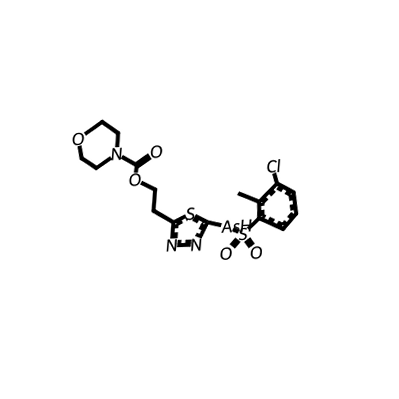 Cc1c(Cl)cccc1S(=O)(=O)[AsH]c1nnc(CCOC(=O)N2CCOCC2)s1